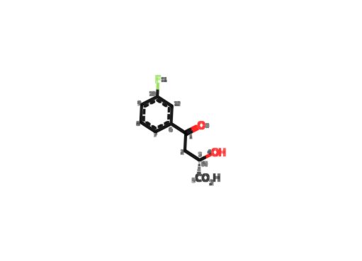 O=C(C[C@H](O)C(=O)O)c1cccc(F)c1